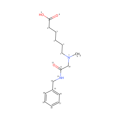 CN(CCCCCC(=O)O)CC(=O)NCc1ccccc1